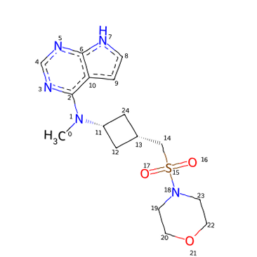 CN(c1ncnc2[nH]ccc12)[C@H]1C[C@@H](CS(=O)(=O)N2CCOCC2)C1